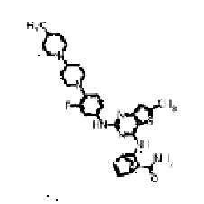 Cc1cc2nc(Nc3ccc(N4CCC(N5CCC(C)CC5)CC4)c(F)c3)nc(N[C@@H]3C4C=CC(C4)[C@@H]3C(N)=O)c2s1